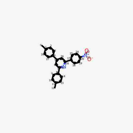 Cc1ccc(-c2cc(-c3ccc(C)cc3)nc(-c3ccc([N+](=O)[O-])cc3)c2)cc1